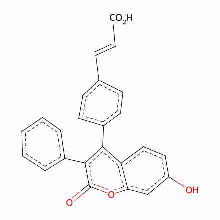 O=C(O)/C=C/c1ccc(-c2c(-c3ccccc3)c(=O)oc3cc(O)ccc23)cc1